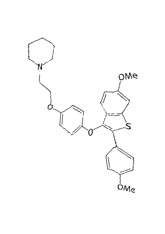 COc1ccc(-c2sc3cc(OC)ccc3c2Oc2ccc(OCCN3CCCCC3)cc2)cc1